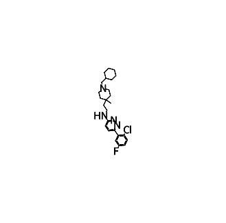 CC1(CCNc2ccc(-c3cc(F)ccc3Cl)nn2)CCN(CC2CCCCC2)CC1